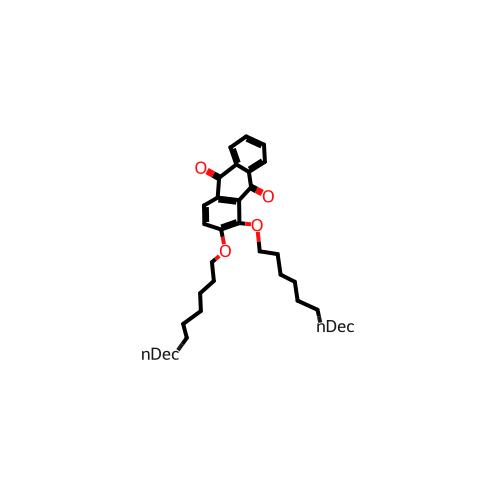 CCCCCCCCCCCCCCCCOc1ccc2c(c1OCCCCCCCCCCCCCCCC)C(=O)c1ccccc1C2=O